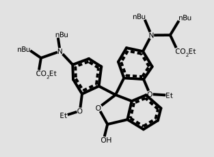 CCCCC(C(=O)OCC)N(CCCC)c1ccc(C2(c3ccc(N(CCCC)C(CCCC)C(=O)OCC)cc3OCC)OC(O)c3ccccc32)c(OCC)c1